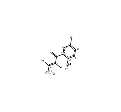 C=C(/C(C)=C(/N)I)c1cc(C)ccc1S